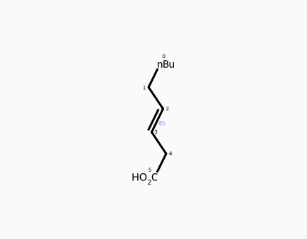 CCCCC/C=C/CC(=O)O